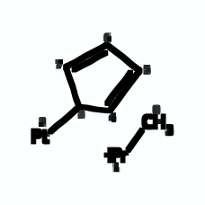 C[C](C)C.[Pt][CH]1C=CC=C1